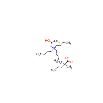 CCCC(C)(C)C(=O)[O-].CCCC[N+](CCCC)(CCCC)CC(C)O